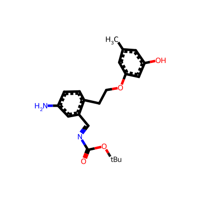 Cc1cc(O)cc(OCCc2ccc(N)cc2C=NC(=O)OC(C)(C)C)c1